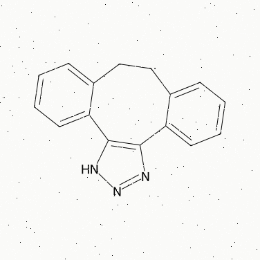 [CH]1Cc2ccccc2-c2[nH]nnc2-c2ccccc21